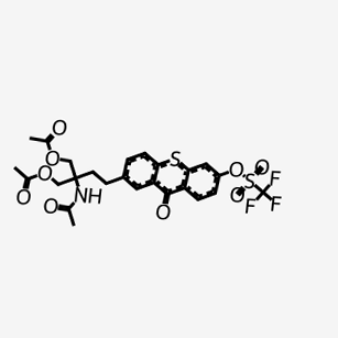 CC(=O)NC(CCc1ccc2sc3cc(OS(=O)(=O)C(F)(F)F)ccc3c(=O)c2c1)(COC(C)=O)COC(C)=O